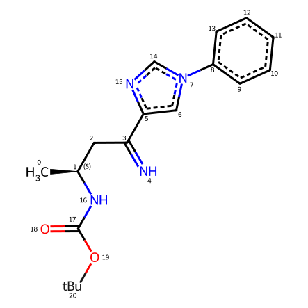 C[C@@H](CC(=N)c1cn(-c2ccccc2)cn1)NC(=O)OC(C)(C)C